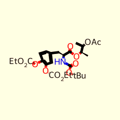 CCOC(=O)Oc1ccc(C[C@H](NC(=O)OC(C)(C)C)C(=O)O[C@H](C)C(C)OC(C)=O)cc1OC(=O)OCC